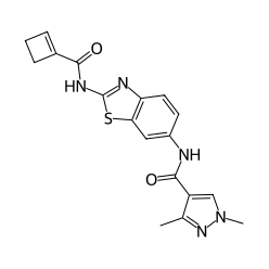 Cc1nn(C)cc1C(=O)Nc1ccc2nc(NC(=O)C3=CCC3)sc2c1